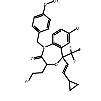 COc1ccc(CN2C(=O)C(CCBr)OC(C=CC3CC3)(C(F)(F)F)c3cc(Cl)ccc32)cc1